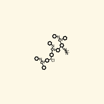 [N-]=[N+]=NCc1ccc(C2C/C(=N\c3ccccc3)N2c2ccccc2)cc1-c1cccc(N2/C(=N/c3ccccc3)CC2c2ccc(C(Cl)c3ccc(N4/C(=N/c5ccccc5)CC4c4ccccc4)cc3)cc2)c1